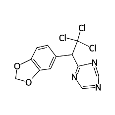 ClC(Cl)(Cl)C(c1ccc2c(c1)OCO2)c1ncncn1